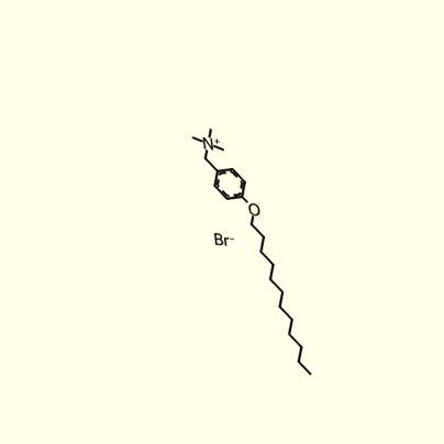 CCCCCCCCCCCCOc1ccc(C[N+](C)(C)C)cc1.[Br-]